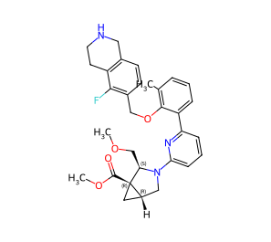 COC[C@H]1N(c2cccc(-c3cccc(C)c3OCc3ccc4c(c3F)CCNC4)n2)C[C@@H]2C[C@@]21C(=O)OC